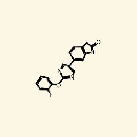 O=C1Cc2ccc(-c3cnc(Oc4ccccc4F)nc3)cc2N1